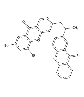 CCc1cc(CC)c2sc3cc(CC(C)c4ccc5sc6ccccc6c(=O)c5c4)ccc3c(=O)c2c1